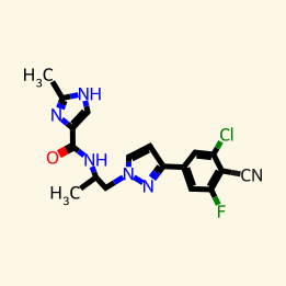 Cc1nc(C(=O)NC(C)Cn2ccc(-c3cc(F)c(C#N)c(Cl)c3)n2)c[nH]1